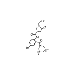 CC(C)CN1CC(C(=O)Nc2ccc(Br)cc2C(=O)N2C[C@H](C)C[C@H](C)C2)CC1=O